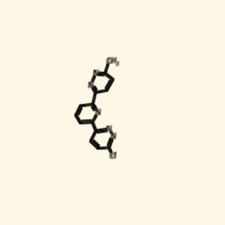 Cc1ccc(-c2cccc(-c3ccc(Cl)nn3)n2)nn1